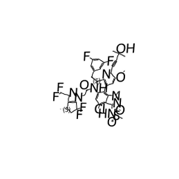 COc1cc(-c2ccc(Cl)c3c(NS(C)(=O)=O)nn(C)c23)c([C@H](Cc2cc(F)cc(F)c2)NC(=O)Cn2nc(C(F)F)c3c2C(F)(F)C[C@@H]3C)nc1C#CC(C)(C)O